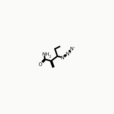 C=C(C(N)=O)C(CC)N=[N+]=[N-]